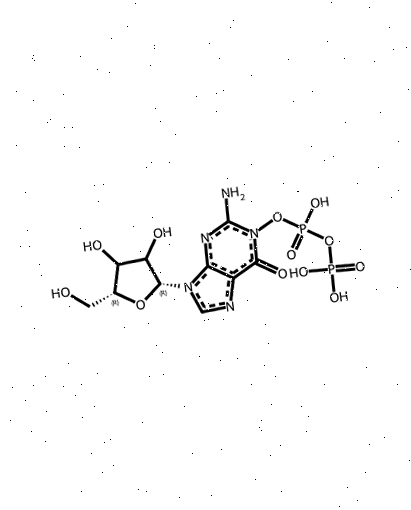 Nc1nc2c(ncn2[C@@H]2O[C@H](CO)C(O)C2O)c(=O)n1OP(=O)(O)OP(=O)(O)O